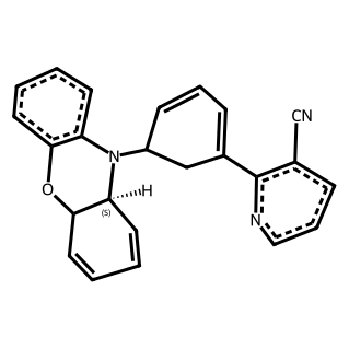 N#Cc1cccnc1C1=CC=CC(N2c3ccccc3OC3C=CC=C[C@@H]32)C1